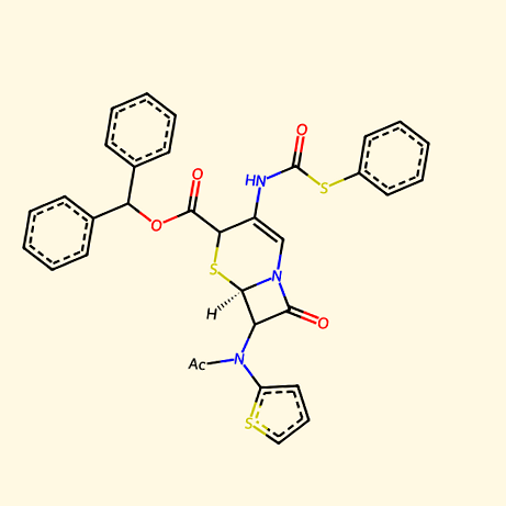 CC(=O)N(c1cccs1)C1C(=O)N2C=C(NC(=O)Sc3ccccc3)C(C(=O)OC(c3ccccc3)c3ccccc3)S[C@H]12